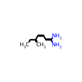 C=C(/C=C\C=C(N)N)CC